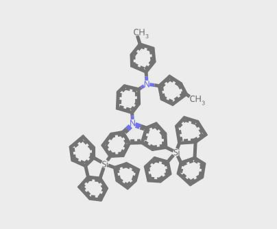 Cc1ccc(N(c2ccc(C)cc2)c2cccc(-n3c4ccc([Si]5(c6ccccc6)c6ccccc6-c6ccccc65)cc4c4cc([Si]5(c6ccccc6)c6ccccc6-c6ccccc65)ccc43)c2)cc1